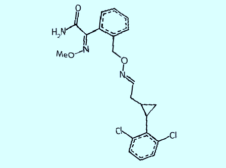 CON=C(C(N)=O)c1ccccc1CON=CCC1CC1c1c(Cl)cccc1Cl